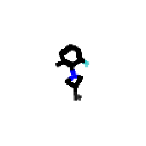 Cc1cccc(F)c1N1CC(C(C)C)C1